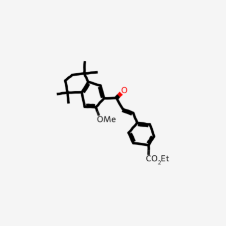 CCOC(=O)c1ccc(C=CC(=O)c2cc3c(cc2OC)C(C)(C)CCC3(C)C)cc1